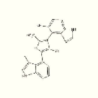 Cc1c[nH]c2cccc(-c3[nH]c(C(=O)O)c(-c4c(Cl)ccc5[nH]ccc45)c3C(C)C)c12